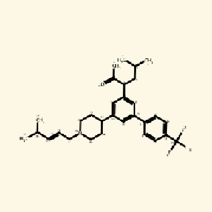 CC(=O)C(CC(C)C)c1cc(-c2ccc(C(F)(F)F)cc2)cc(C2CCN(C/C=C/C(C)C)CC2)c1